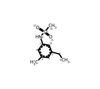 CCc1cc(C)cc(NS(C)(=O)=O)c1